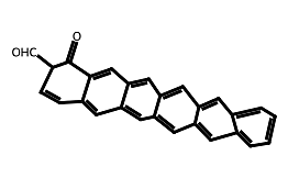 O=CC1C=Cc2cc3cc4cc5cc6ccccc6cc5cc4cc3cc2C1=O